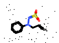 C=CCN(N=S(=O)=O)c1ccccc1